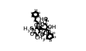 CN1C(=O)N(C)C(=O)C2(C1=O)[C@@H]1[C@](O)(Cc3ccccc3)[C@H](O)[C@@H](CO)O[C@]12ONCc1ccccc1